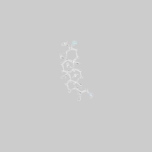 CCC[C@@]1(O)CC[C@@]2(C)[C@H](CC[C@@H]3[C@@H]2CC[C@]2(C)[C@@H](C(C)CBr)CC[C@@H]32)C1